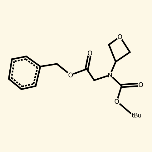 CC(C)(C)OC(=O)N(CC(=O)OCc1ccccc1)C1COC1